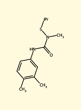 Cc1ccc(NC(=O)N(C)SC(C)C)cc1C